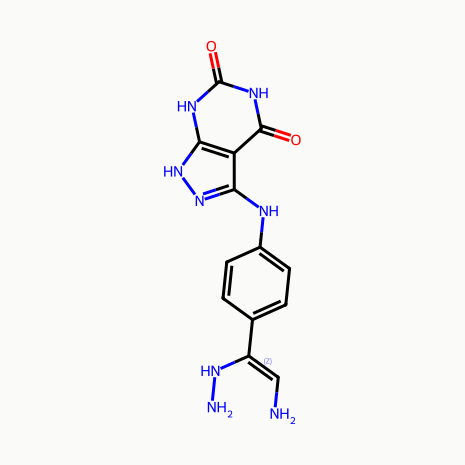 N/C=C(\NN)c1ccc(Nc2n[nH]c3[nH]c(=O)[nH]c(=O)c23)cc1